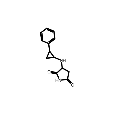 O=C1CC(NC2CC2c2ccccc2)C(=O)N1